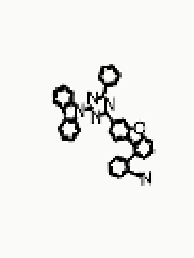 N#Cc1ccccc1-c1cccc2oc3cc(-c4nc(-c5ccccc5)nc(-n5c6ccccc6c6ccccc65)n4)ccc3c12